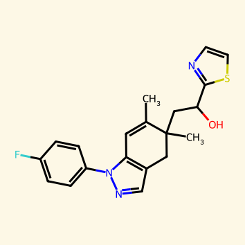 CC1=Cc2c(cnn2-c2ccc(F)cc2)CC1(C)CC(O)c1nccs1